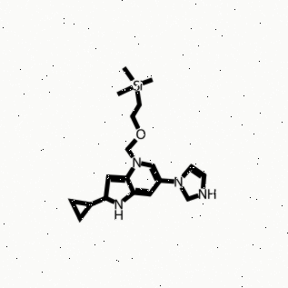 C[Si](C)(C)CCOCN1C=C(N2C=CNC2)C=C2NC(C3CC3)C=C21